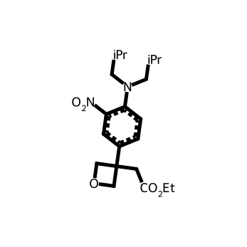 CCOC(=O)CC1(c2ccc(N(CC(C)C)CC(C)C)c([N+](=O)[O-])c2)COC1